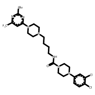 CC(C)(C)c1nc(N2CCN(CCCCNC(=O)N3CCN(c4ccc(Cl)c(Cl)c4)CC3)CC2)cc(C(F)(F)F)n1